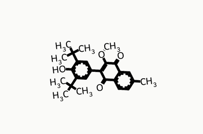 COC1=C(c2cc(C(C)(C)C)c(O)c(C(C)(C)C)c2)C(=O)c2ccc(C)cc2C1=O